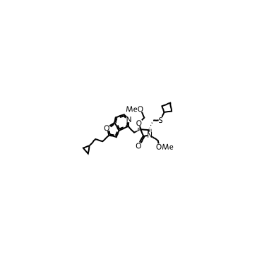 COCO[C@@]1(Cc2nccc3oc(CCC4CC4)cc23)C(=O)N(COC)[C@H]1CSC1CCC1